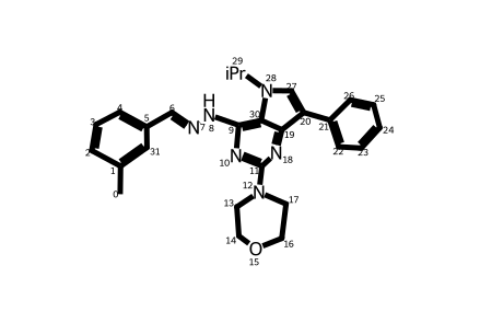 Cc1cccc(C=NNc2nc(N3CCOCC3)nc3c(-c4ccccc4)cn(C(C)C)c23)c1